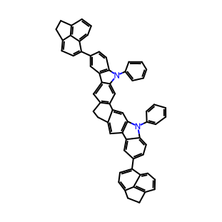 c1ccc(-n2c3ccc(-c4ccc5c6c(cccc46)CC5)cc3c3cc4c(cc32)-c2cc3c(cc2CC4)c2cc(-c4ccc5c6c(cccc46)CC5)ccc2n3-c2ccccc2)cc1